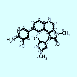 Cc1nn(C)cc1-n1c(=O)n(C)c2cnc3ccc(-c4cnc(N)c(Cl)c4)cc3c21